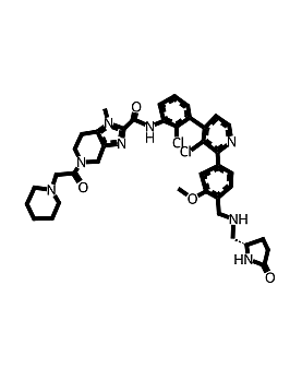 COc1cc(-c2nccc(-c3cccc(NC(=O)c4nc5c(n4C)CCN(C(=O)CN4CCCCC4)C5)c3Cl)c2Cl)ccc1CNC[C@@H]1CCC(=O)N1